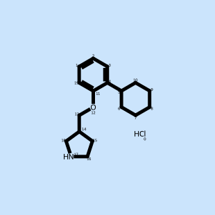 Cl.c1ccc(C2CCCCC2)c(OCC2CCNC2)c1